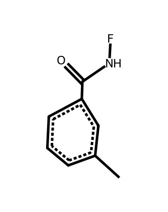 Cc1cccc(C(=O)NF)c1